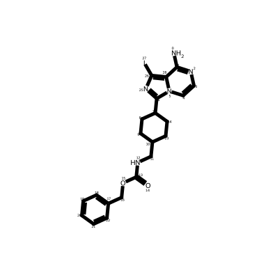 Nc1nccn2c(C3CCC(CNC(=O)OCc4ccccc4)CC3)nc(I)c12